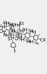 [2H]c1c([2H])c(C([2H])([2H])N(CCN(CC)CC)C(=O)C([2H])([2H])n2c(SCc3ccc(F)cc3)nc(=O)c3c2C([2H])([2H])C([2H])([2H])C3([2H])[2H])c([2H])c([2H])c1-c1c([2H])c([2H])c(C(F)(F)F)c(C)c1[2H]